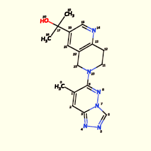 Cc1cc2nncn2nc1N1CCc2ncc(C(C)(C)O)cc2C1